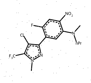 CCCN(C)c1cc(-c2nn(C)c(C(F)(F)F)c2Cl)c(F)cc1[N+](=O)[O-]